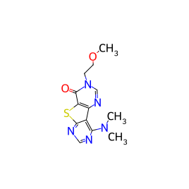 COCCn1cnc2c(sc3ncnc(N(C)C)c32)c1=O